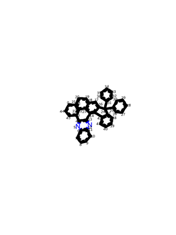 c1ccc(-c2nc3ccccc3nc2-c2c3c(cc4ccccc24)C(c2ccccc2)(c2ccccc2)c2ccccc2-3)cc1